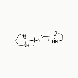 CC(C)(N=NC(C)(C)C1=NCCN1)C1=NCCCN1